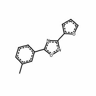 Cc1cccc(-c2nc(-c3ccco3)no2)c1